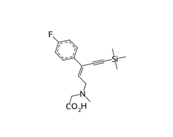 CN(CC=C(C#C[Si](C)(C)C)c1ccc(F)cc1)CC(=O)O